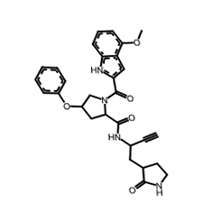 C#CC(CC1CCNC1=O)NC(=O)C1CC(Oc2ccccc2)CN1C(=O)c1cc2c(OC)cccc2[nH]1